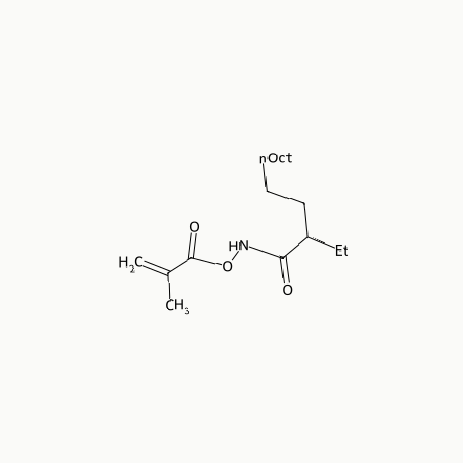 C=C(C)C(=O)ONC(=O)C(CC)CCCCCCCCCC